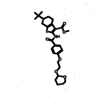 COC(=O)c1c(NC(=O)c2ccc(OCCOC3CCCCO3)cc2)sc2c1CCC(C(C)(C)C)C2